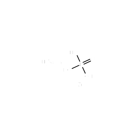 O=P(O)(O)O.[BaH2].[Y].[Zr]